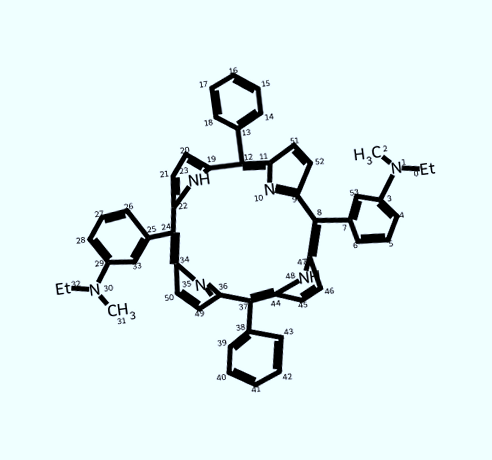 CCN(C)c1cccc(-c2c3nc(c(-c4ccccc4)c4ccc([nH]4)c(-c4cccc(N(C)CC)c4)c4nc(c(-c5ccccc5)c5ccc2[nH]5)C=C4)C=C3)c1